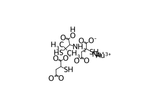 CC(C)(S)C(N)C(=O)O.O=C([O-])CC(S)C(=O)[O-].O=C([O-])CC(S)C(=O)[O-].[Au+3].[Na+]